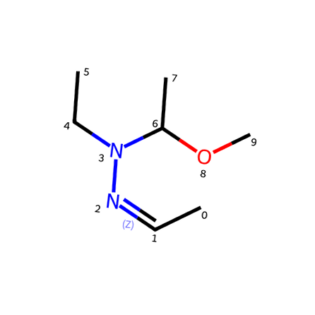 C/C=N\N(CC)C(C)OC